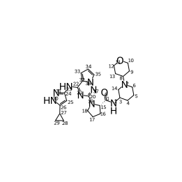 O=C(NC1CCCN(C2CCOCC2)C1)[C@@H]1CCCN1c1nc(Nc2cc(C3CC3)[nH]n2)c2cccn2n1